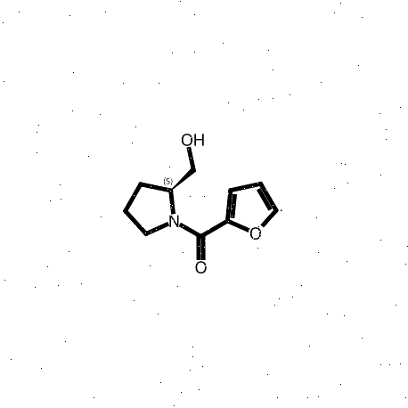 O=C(c1cc[c]o1)N1CCC[C@H]1CO